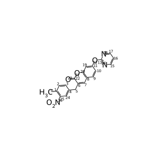 Cc1ccc(Cc2cc3ccc(Oc4ncccn4)cc3oc2=O)cc1[N+](=O)[O-]